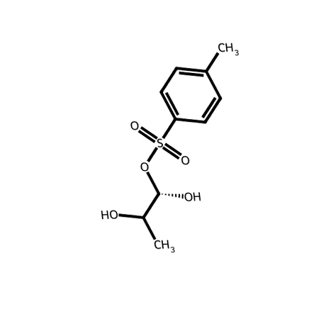 Cc1ccc(S(=O)(=O)O[C@H](O)C(C)O)cc1